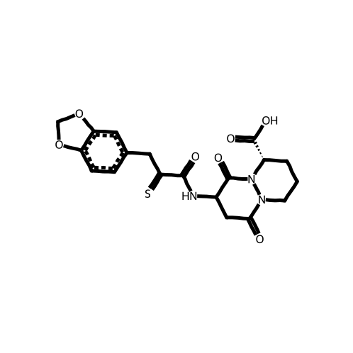 O=C(NC1CC(=O)N2CCC[C@@H](C(=O)O)N2C1=O)C(=S)Cc1ccc2c(c1)OCO2